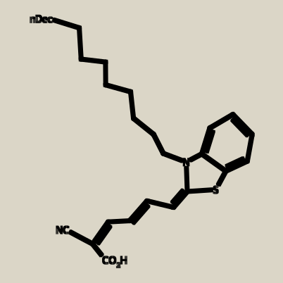 CCCCCCCCCCCCCCCCCCN1C(=CC=CC=C(C#N)C(=O)O)Sc2ccccc21